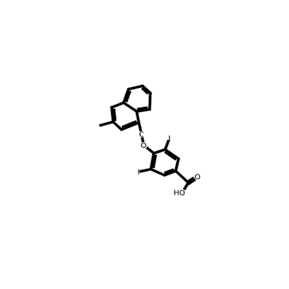 Cc1cc(COc2c(I)cc(C(=O)O)cc2I)c2ccccc2c1